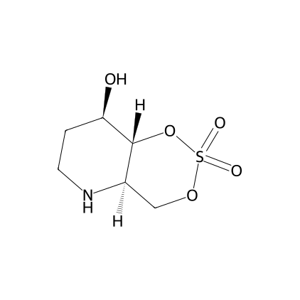 O=S1(=O)OC[C@H]2NCC[C@@H](O)[C@@H]2O1